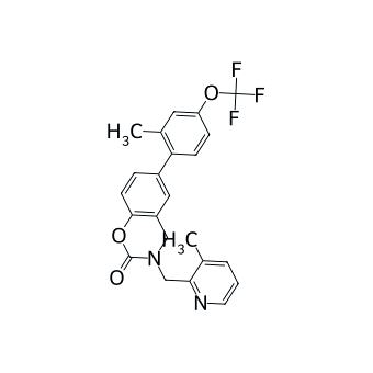 Cc1cc(OC(F)(F)F)ccc1-c1ccc2c(c1)CN(Cc1ncccc1C)C(=O)O2